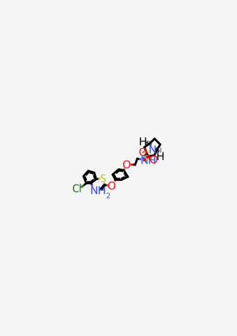 C=C(Oc1ccc(OCCN[C@H]2C[C@H]3CC[C@@H](C2)N3S(C)(=O)=O)cc1)Sc1cccc(Cl)c1N